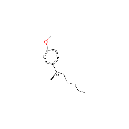 CCCCC[C@@H](C)c1ccc(OC)cc1